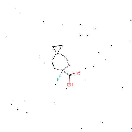 O=C(O)C1(F)CCC2(CC2)CC1